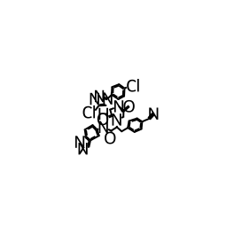 Cn1cc2cc(NC(=O)C(Cc3ccc(C#N)cc3)N3CC(=O)N(c4cc(Cl)ccc4-n4cc(Cl)nn4)CC3=O)ccc2n1